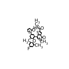 CCNC(=O)c1cc2c(=O)n(C)cc(-c3cc(N4CC=CC4=O)ccc3Oc3c(C)cc(F)cc3C)c2s1